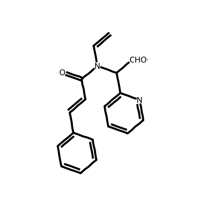 C=CN(C(=O)C=Cc1ccccc1)C([C]=O)c1ccccn1